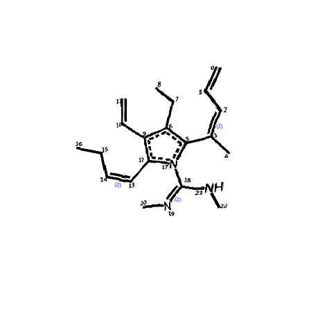 C=C/C=C(/C)c1c(CC)c(C=C)c(/C=C\CC)n1/C(=N\C)NC